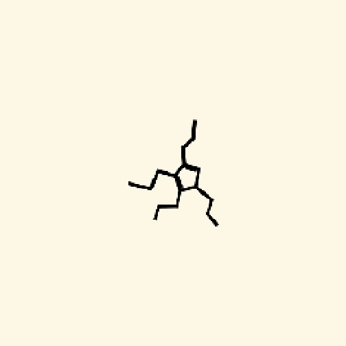 CCC[C]1C=C(CCC)C(CCC)=C1CCC